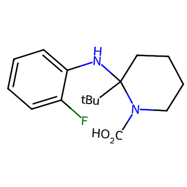 CC(C)(C)C1(Nc2ccccc2F)CCCCN1C(=O)O